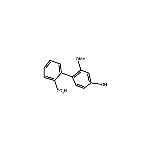 COc1cc(O)ccc1-c1ccccc1C(=O)O